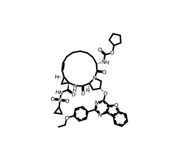 CCOc1ccc(-c2nc(O[C@@H]3C[C@H]4C(=O)N[C@]5(C(=O)NS(=O)(=O)C6CC6)C[C@H]5/C=C\CCCCC[C@H](NC(=O)OC5CCCC5)C(=O)N4C3)c3oc4ccccc4c3n2)cc1